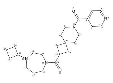 O=C(c1ccncc1)N1CCC2(CC1)CC(C(=O)N1CCCN(C3CCC3)CC1)C2